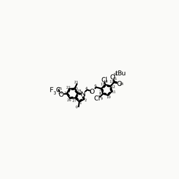 Cc1cn(COCc2c(Cl)ccc(C(=O)OC(C)(C)C)c2Cl)c2c(C)cc(OC(F)(F)F)cc12